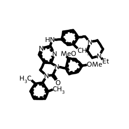 CCN1CCN(Cc2ccc(Nc3ncc4c(n3)N(c3ccc(OC)cc3OC)C(=O)N(c3c(C)cccc3C)C4)cc2C)CC1